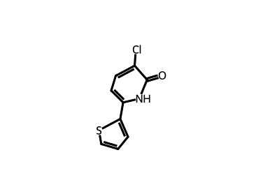 O=c1[nH]c(-c2cccs2)ccc1Cl